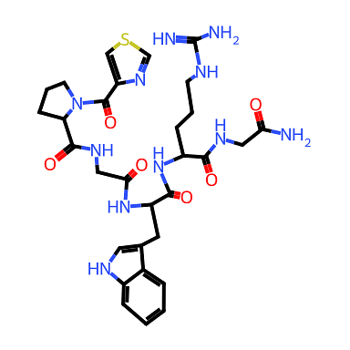 N=C(N)NCCCC(NC(=O)C(Cc1c[nH]c2ccccc12)NC(=O)CNC(=O)C1CCCN1C(=O)c1cscn1)C(=O)NCC(N)=O